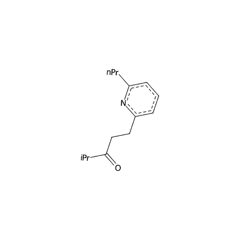 CCCc1cccc(CCC(=O)C(C)C)n1